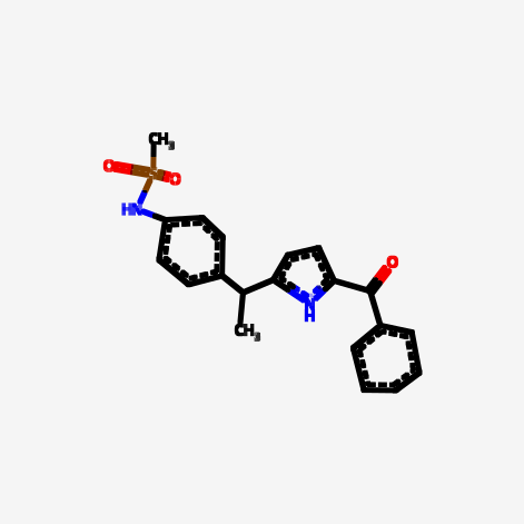 CC(c1ccc(NS(C)(=O)=O)cc1)c1ccc(C(=O)c2ccccc2)[nH]1